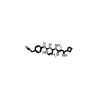 N#CCc1ccc(NC2NC=CC(N(N)/C(N)=C/C(=N)C3CCC3)N2)cc1